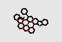 CC1(C)c2ccccc2-c2cccc(N(c3ccccc3-c3cccc4c3sc3ccccc34)c3cccc(-c4ccccc4)c3-c3ccccc3-c3ccccc3)c21